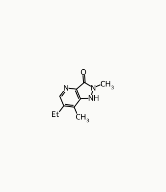 CCc1cnc2c(=O)n(C)[nH]c2c1C